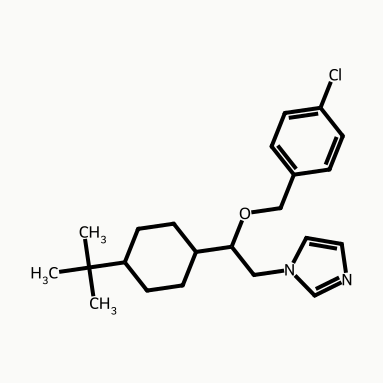 CC(C)(C)C1CCC(C(Cn2ccnc2)OCc2ccc(Cl)cc2)CC1